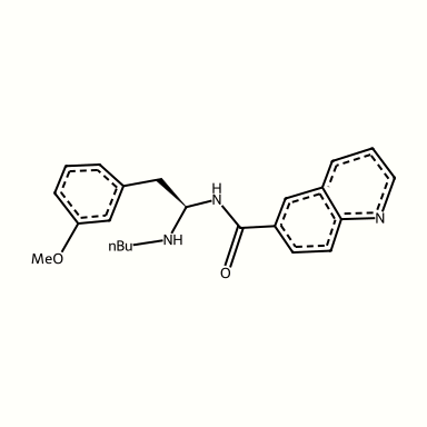 CCCCN[C@@H](Cc1cccc(OC)c1)NC(=O)c1ccc2ncccc2c1